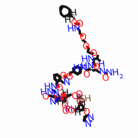 CC(C)C(NC(=O)CCOCCOCCNC(=O)OC[C@@H]1[C@@H]2CCC#CCC[C@@H]21)C(=O)N[C@@H](CCCNC(N)=O)C(=O)Nc1ccc(COC(=O)N(C)Cc2ccccc2C(=O)Nc2nc3c(ncn3[C@@H]3O[C@@H]4CO[P@@](=O)(S)O[C@H]5C[C@H](Oc6ccncn6)C[C@@H]5CO[PH](=O)O[C@@H]3[C@@H]4O)c(=O)[nH]2)cc1